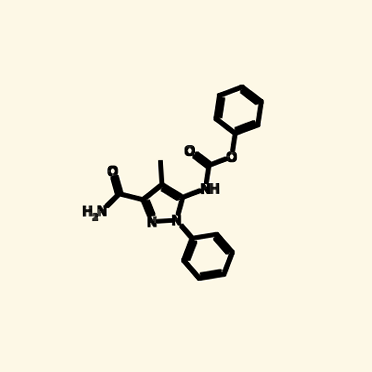 Cc1c(C(N)=O)nn(-c2ccccc2)c1NC(=O)Oc1ccccc1